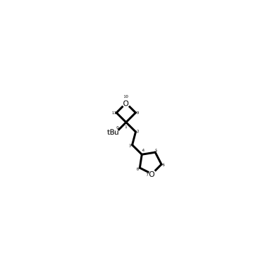 CC(C)(C)C1(CCC2CCOC2)COC1